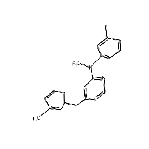 Cc1cccc(N(c2cc(Cc3cccc(C(F)(F)F)c3)ncn2)C(F)(F)F)c1